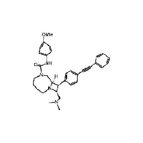 COc1ccc(NC(=O)N2CCCCN3[C@H](CN(C)C)[C@H](c4ccc(C#Cc5ccccc5)cc4)[C@@H]3C2)cc1